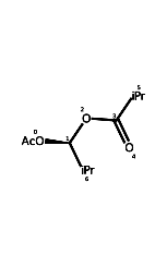 CC(=O)O[C@@H](OC(=O)C(C)C)C(C)C